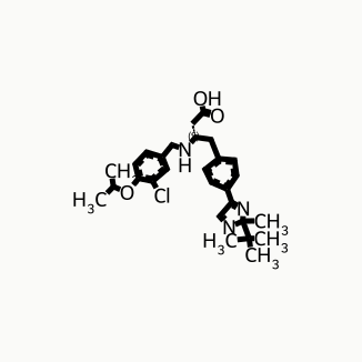 CC(C)Oc1ccc(CN[C@H](CC(=O)O)Cc2ccc(C3=NC(C)(C(C)(C)C)N=C3)cc2)cc1Cl